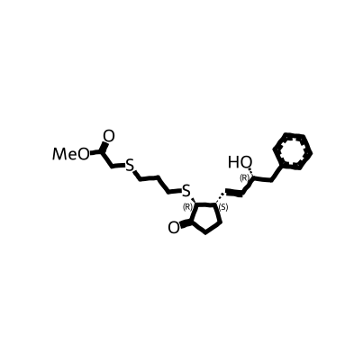 COC(=O)CSCCCS[C@H]1C(=O)CC[C@H]1C=C[C@H](O)Cc1ccccc1